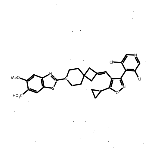 COc1cc2nc(N3CCC4(CC3)CC(=Cc3c(-c5c(Cl)cncc5Cl)noc3C3CC3)C4)sc2cc1C(=O)O